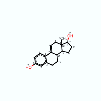 C[C@]12CC=C3c4ccc(O)cc4CCC3C1CC[C@@H]2O